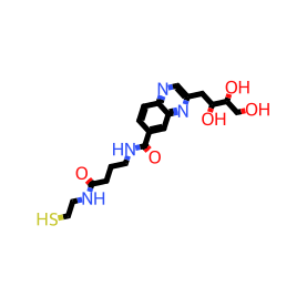 O=C(CCCNC(=O)c1ccc2ncc(CC(O)C(O)CO)nc2c1)NCCS